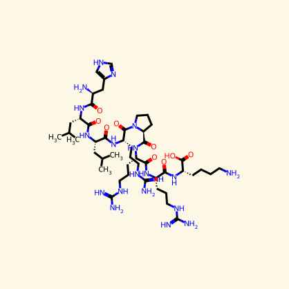 CC(C)C[C@H](NC(=O)[C@H](CC(C)C)NC(=O)[C@@H](N)Cc1c[nH]cn1)C(=O)N[C@@H](CCCNC(=N)N)C(=O)N1CCC[C@H]1C(=O)N[C@@H](CCCNC(=N)N)C(=O)N[C@@H](CCCNC(=N)N)C(=O)N[C@@H](CCCCN)C(=O)O